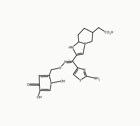 Nc1nc(/C(=N\OCc2cc(=O)c(O)cn2O)C2=CB3CC(CC(=O)O)CCC3N2)cs1